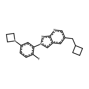 Fc1ccc(N2CCC2)cc1-n1cc2cc(CC3CCC3)cnc2n1